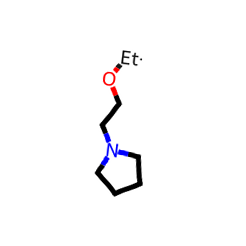 C[CH]OCCN1CCCC1